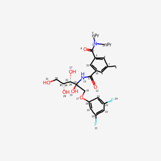 CCCN(CCC)C(=O)c1cc(C)cc(C(=O)N[C@](O)(COc2cc(F)cc(F)c2)[C@@H](O)[C@H](O)CO)c1